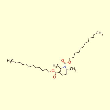 CCCCCCCCCCCCOC(=O)C1=C(C)N(C(=O)OCCCCCCCCCCCC)C(C)=CC1